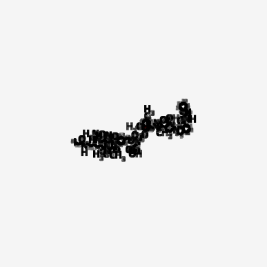 Cc1c(-c2ccc(N3CCc4cccc(C(=O)Nc5nc6ccccc6s5)c4C3)nc2C(=O)O)cnn1CC12CC3(C)CC(C)(C1)CC(OCCN(CCS(=O)(=O)O)C(=O)OCc1ccc(N(C(=O)[C@@H](NC(=O)CCCCCNC(=O)CI)C(C)C)[C@@H](CCCNC(N)=O)C(N)=O)cc1)(C3)C2